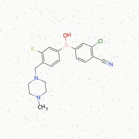 CN1CCN(Cc2ccc(B(O)c3ccc(C#N)c(Cl)c3)cc2F)CC1